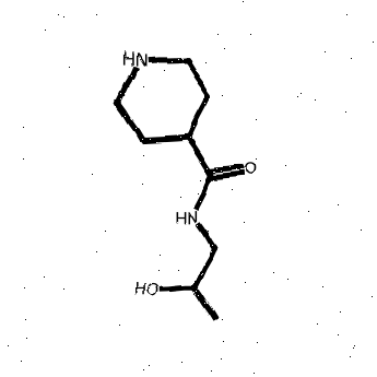 CC(O)CNC(=O)C1CCNCC1